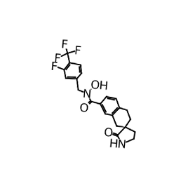 O=C(c1ccc2c(c1)C[C@]1(CCNC1=O)CC2)N(O)Cc1ccc(C(F)(F)F)c(F)c1